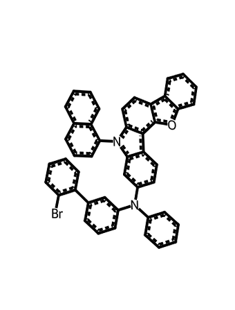 Brc1ccccc1-c1cccc(N(c2ccccc2)c2ccc3c4c5oc6ccccc6c5ccc4n(-c4cccc5ccccc45)c3c2)c1